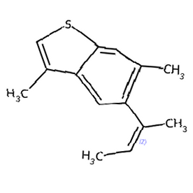 C/C=C(/C)c1cc2c(C)csc2cc1C